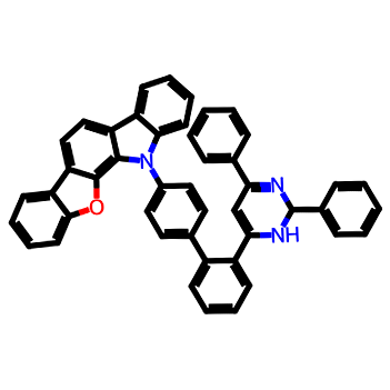 C1=C(c2ccccc2-c2ccc(-n3c4ccccc4c4ccc5c6ccccc6oc5c43)cc2)NC(c2ccccc2)N=C1c1ccccc1